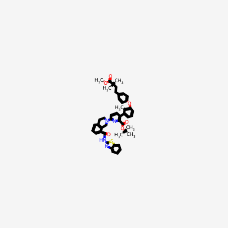 COC(=O)C(C)(C)CCc1ccc(Oc2cccc(-c3ccc(N4CCc5cccc(C(=O)Nc6nc7ccccc7s6)c5C4)nc3C(=O)OC(C)(C)C)c2C)cc1